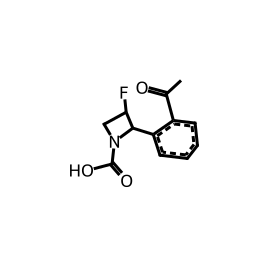 CC(=O)c1ccccc1C1C(F)CN1C(=O)O